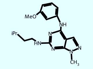 COc1cccc(Nc2nc(NCCC(C)C)nc3c2cnn3C)c1